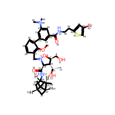 COc1c(CN2O[C@@H](CO)[C@H]([C@H](C)O)[C@H]2C(=O)N[C@H]2C[C@H]3C[C@@H]([C@@H]2C)C3(C)C)cccc1-c1cc(C(=O)NCCc2cc(Br)cs2)cc(N(C)C)c1